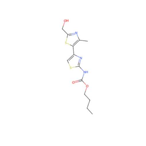 CCCCOC(=O)Nc1nc(-c2sc(CO)nc2C)cs1